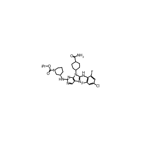 CC(C)OC(=O)N1CCC[C@@H](Nc2ncc3nc(Nc4c(F)cc(Cl)cc4F)n(C4CCC(C(N)=O)CC4)c3n2)C1